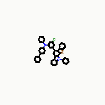 Clc1cc(-c2cc3c4ccccc4n(-c4ccccc4)c3c3sc4ccccc4c23)cc(N(c2ccccc2)c2ccc(-c3ccccc3)cc2)c1